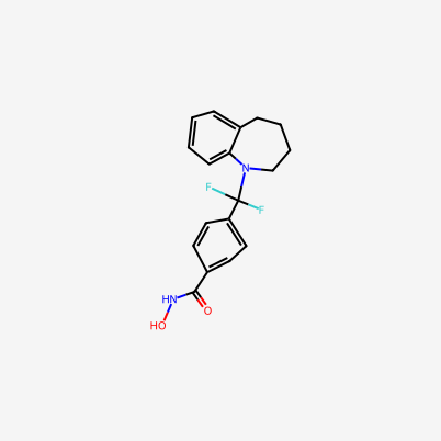 O=C(NO)c1ccc(C(F)(F)N2CCCCc3ccccc32)cc1